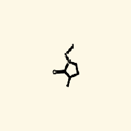 CC1CCN(SI)C1=O